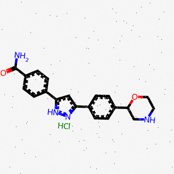 Cl.NC(=O)c1ccc(-c2cc(-c3ccc(C4CNCCO4)cc3)n[nH]2)cc1